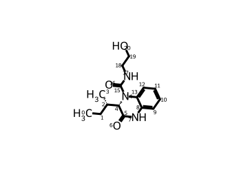 CC[C@H](C)[C@H]1C(=O)Nc2ccccc2N1C(=O)NCCO